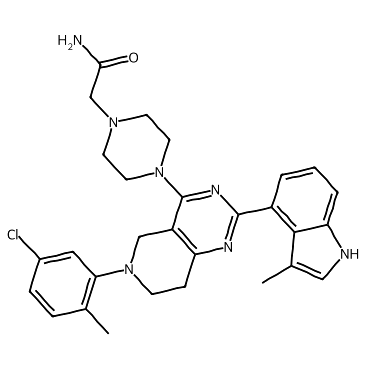 Cc1ccc(Cl)cc1N1CCc2nc(-c3cccc4[nH]cc(C)c34)nc(N3CCN(CC(N)=O)CC3)c2C1